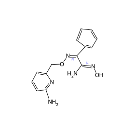 NC(=N\O)/C(=N\OCc1cccc(N)n1)c1ccccc1